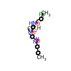 Cc1ccc(-c2ccc(-c3nc(-c4ccc(CN(CC(=O)O)C(=O)c5ccc(NC(=O)Cc6cccc(C(C)(F)F)c6)cc5)cc4)no3)cc2)cc1